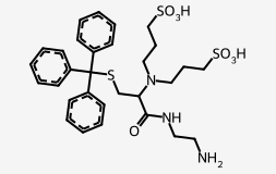 NCCNC(=O)C(CSC(c1ccccc1)(c1ccccc1)c1ccccc1)N(CCCS(=O)(=O)O)CCCS(=O)(=O)O